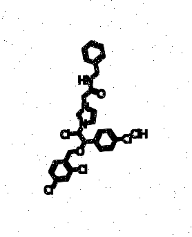 Cl.O=C(CN1C=CN(C(Cl)C(OCc2ccc(Cl)cc2Cl)c2ccc(Cl)cc2)C1)NCc1ccccc1